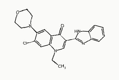 CCn1cc(-c2nc3ccccc3[nH]2)c(=O)c2cc(N3CCOCC3)c(Cl)cc21